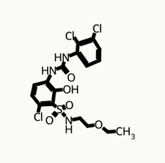 CCOCCNS(=O)(=O)c1c(Cl)ccc(NC(=O)Nc2cccc(Cl)c2Cl)c1O